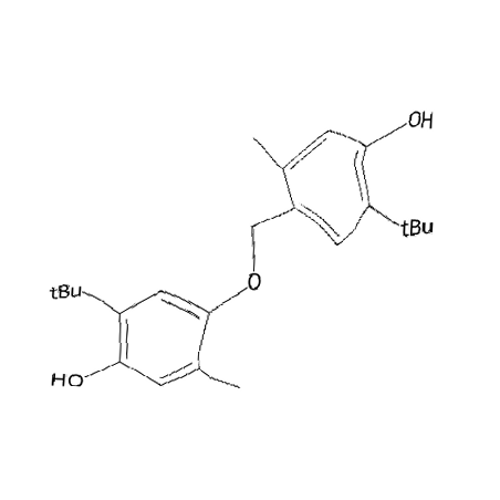 Cc1cc(O)c(C(C)(C)C)cc1COc1cc(C(C)(C)C)c(O)cc1C